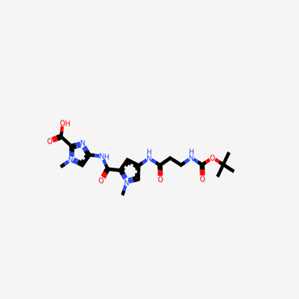 Cn1cc(NC(=O)CCNC(=O)OC(C)(C)C)cc1C(=O)Nc1cn(C)c(C(=O)O)n1